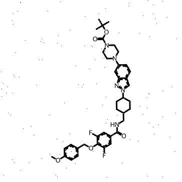 COc1ccc(COc2c(F)cc(C(=O)NCC3CCC(n4cc5ccc(N6CCN(C(=O)OC(C)(C)C)CC6)cc5n4)CC3)cc2F)cc1